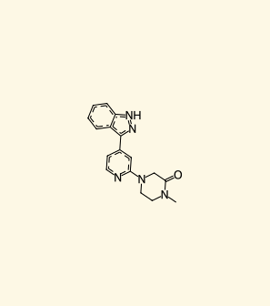 CN1CCN(c2cc(-c3n[nH]c4ccccc34)ccn2)CC1=O